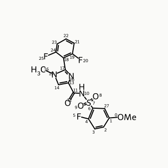 COc1ccc(F)c(S(=O)(=O)NC(=O)c2cn(C)c(-c3c(F)cccc3F)n2)c1